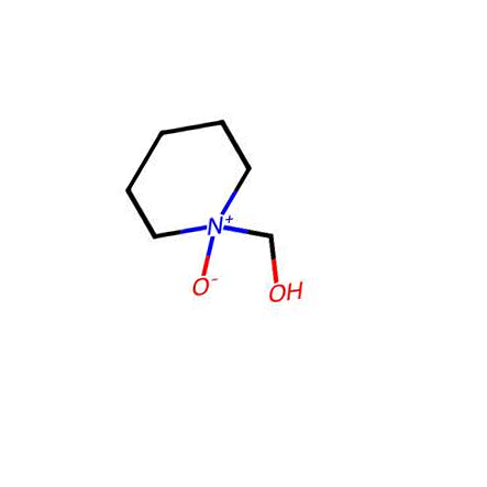 [O-][N+]1(CO)CCCCC1